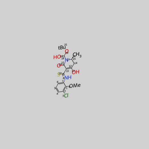 COc1c(Cl)cccc1NC(=S)C1=C(O)C[C@H](C)N(C(O)OC(C)(C)C)C1=O